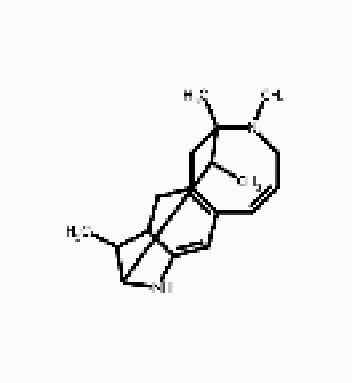 CC1C2CC3=C4C=C2NC1C(C)C(C)(C3)N(C)C/C=C\4